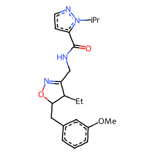 CCC1C(CNC(=O)c2ccnn2C(C)C)=NOC1Cc1cccc(OC)c1